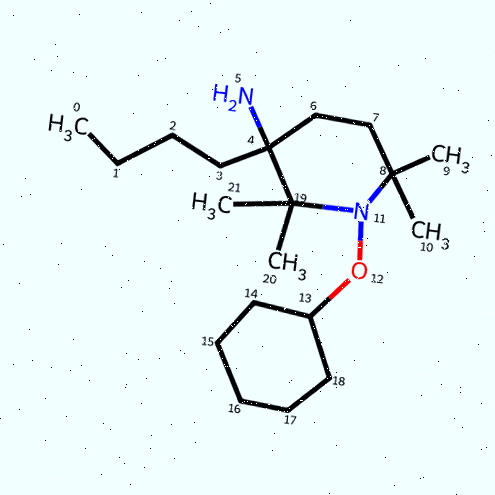 CCCCC1(N)CCC(C)(C)N(OC2CCCCC2)C1(C)C